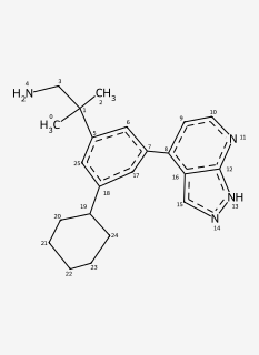 CC(C)(CN)c1cc(-c2ccnc3[nH]ncc23)cc(C2CCCCC2)c1